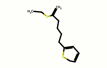 C=C(CCCCC1=CC=CCS1)SCC